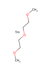 COCCOCCOC.[Tm]